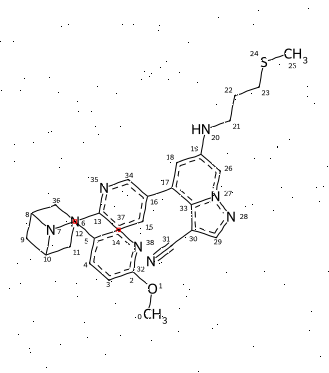 COc1ccc(CN2C3CC2CN(c2ccc(-c4cc(NCCCSC)cn5ncc(C#N)c45)cn2)C3)cn1